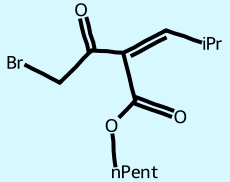 CCCCCOC(=O)/C(=C\C(C)C)C(=O)CBr